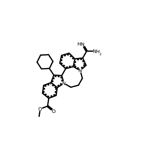 COC(=O)c1ccc2c(C3CCCCC3)c3n(c2c1)CCCn1cc(C(=N)N)c2cccc-3c21